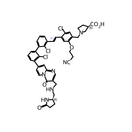 N#CCCOc1cc(/C=C/c2cccc(-c3cccc(-c4ccn5c(=O)c(CNC[C@H]6CCC(=O)N6)cnc5c4)c3Cl)c2Cl)c(Cl)cc1CN1CC[C@@H](C(=O)O)C1